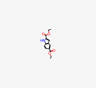 CCOC(=O)c1ccc2[nH]c(C(=O)OCC)cc2c1